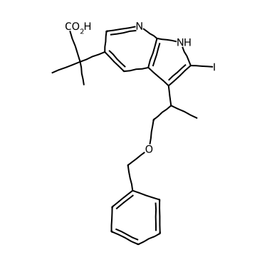 CC(COCc1ccccc1)c1c(I)[nH]c2ncc(C(C)(C)C(=O)O)cc12